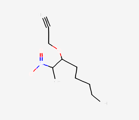 C#CCOC(CCCCC)C(C)[N+](=O)[O-]